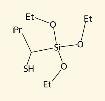 CCO[Si](OCC)(OCC)C(S)C(C)C